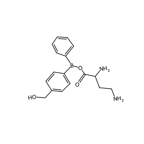 NCCC(N)C(=O)OB(c1ccccc1)c1ccc(CO)cc1